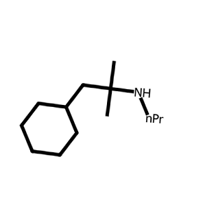 CCCNC(C)(C)CC1CCCCC1